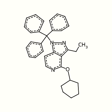 CCc1nn(C(c2ccccc2)(c2ccccc2)c2ccccc2)c2ccnc(OC3CCCCC3)c12